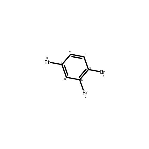 C[CH]c1ccc(Br)c(Br)c1